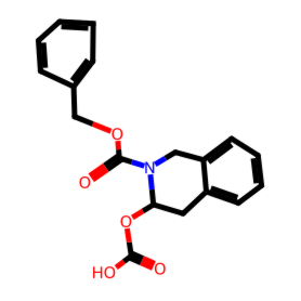 O=C(O)OC1Cc2ccccc2CN1C(=O)OCc1ccccc1